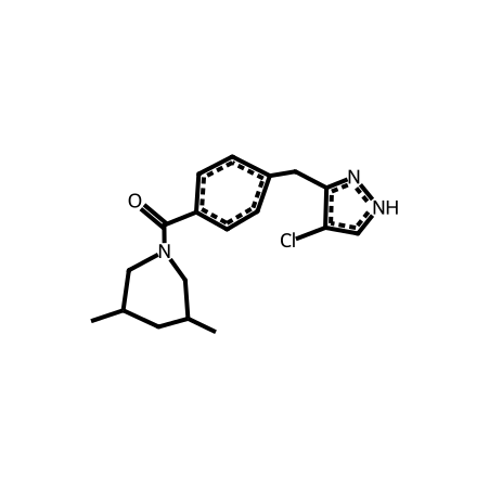 CC1CC(C)CN(C(=O)c2ccc(Cc3n[nH]cc3Cl)cc2)C1